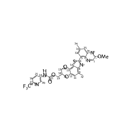 COc1cnc2c(-c3nc4c(C)cc5c(c4s3)OCC(COC(=O)Nc3ccc(C(F)(F)F)nc3)O5)cc(C)cc2n1